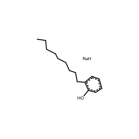 CCCCCCCCCc1ccccc1O.[NaH]